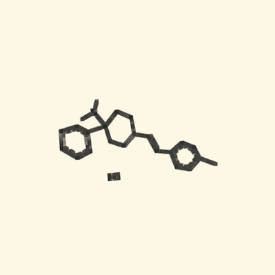 Cc1ccc(C=CC2CCC(c3ccccc3)(N(C)C)CC2)cc1.Cl